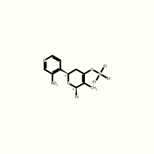 CC[C@H]1O[C@@H](c2ccncc2[N+](=O)[O-])CC(O[Si](CC)(CC)CC)=C1C